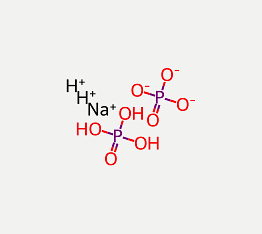 O=P(O)(O)O.O=P([O-])([O-])[O-].[H+].[H+].[Na+]